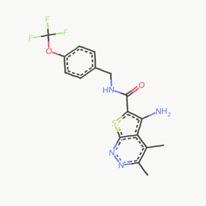 Cc1nnc2sc(C(=O)NCc3ccc(OC(F)(F)F)cc3)c(N)c2c1C